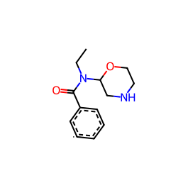 CCN(C(=O)c1c[c]ccc1)C1CNCCO1